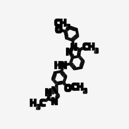 COc1cccc(-n2nc3c(Nc4ccc(-n5cnc(C)n5)c(OC)c4)cccc3c2C)c1